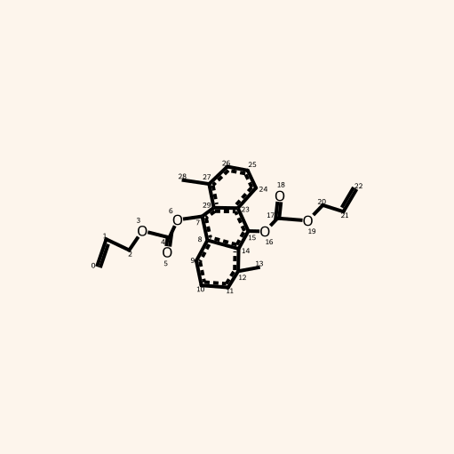 C=CCOC(=O)Oc1c2cccc(C)c2c(OC(=O)OCC=C)c2cccc(C)c12